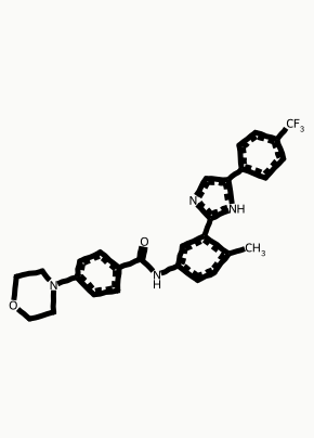 Cc1ccc(NC(=O)c2ccc(N3CCOCC3)cc2)cc1-c1ncc(-c2ccc(C(F)(F)F)cc2)[nH]1